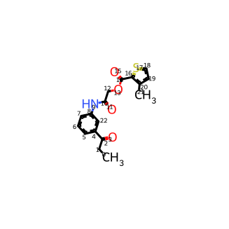 CCC(=O)c1cccc(NC(=O)COC(=O)c2sccc2C)c1